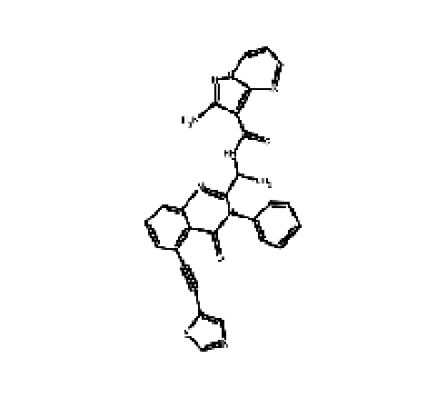 C[C@H](NC(=O)c1c(N)nn2cccnc12)c1nc2cccc(C#Cc3cncs3)c2c(=O)n1-c1ccccc1